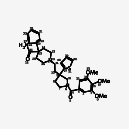 COc1cc(C(=O)N2CCC(CCN3CCC(C(N)=O)(c4ccccc4)CC3)(c3cccs3)C2)cc(OC)c1OC